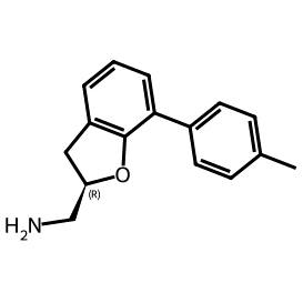 Cc1ccc(-c2cccc3c2O[C@@H](CN)C3)cc1